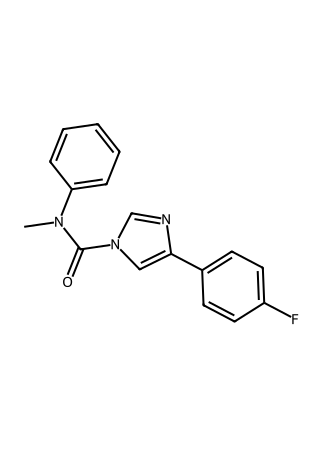 CN(C(=O)n1cnc(-c2ccc(F)cc2)c1)c1ccccc1